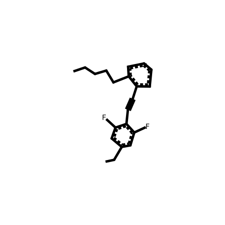 CCCCCc1c[c]ccc1C#Cc1c(F)cc(CC)cc1F